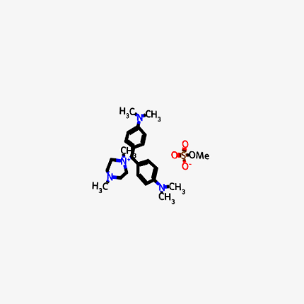 CN1CC[N+](C)(C(c2ccc(N(C)C)cc2)c2ccc(N(C)C)cc2)CC1.COS(=O)(=O)[O-]